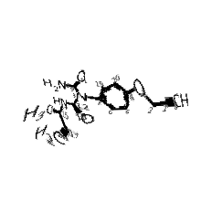 C#CCOc1ccc(N(C(N)=O)C(=O)NC(C)C=C)cc1